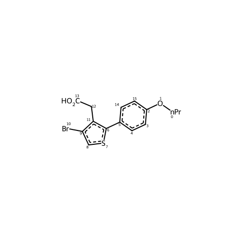 CCCOc1ccc(-c2scc(Br)c2CC(=O)O)cc1